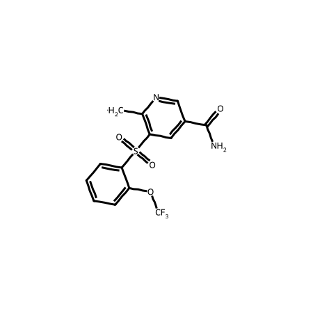 [CH2]c1ncc(C(N)=O)cc1S(=O)(=O)c1ccccc1OC(F)(F)F